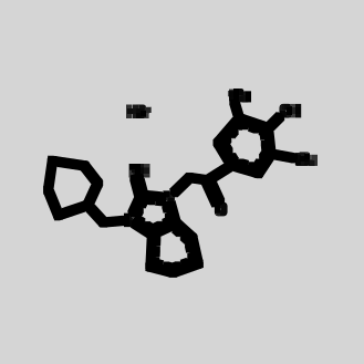 Br.CC(C)(C)c1cc(C(=O)Cn2c(=N)n(CC3CCCCC3)c3ccccc32)cc(C(C)(C)C)c1O